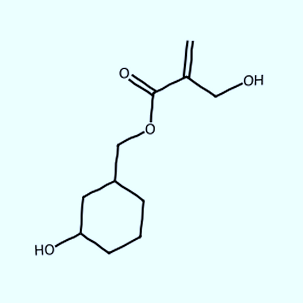 C=C(CO)C(=O)OCC1CCCC(O)C1